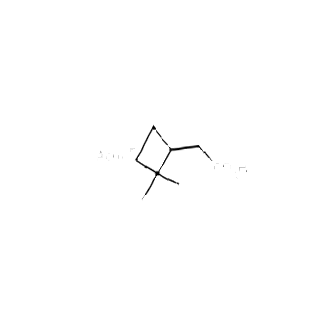 CC(=O)[C@@H]1CC(CC(=O)O)C1(C)C